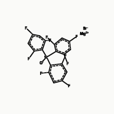 [Br-].[Mg+2].[O-][Si](c1c(F)cc(F)cc1F)(c1c(F)cc(F)cc1F)c1c(F)cc(F)cc1F